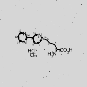 Cl.NC(CCC[n+]1ccc(-c2ncccn2)cn1)C(=O)O.[Cl-]